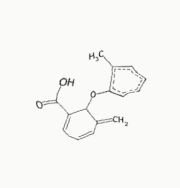 C=C1C=CC=C(C(=O)O)C1Oc1ccccc1C